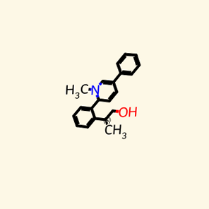 C[C@H](CO)c1ccccc1C1C=CC(c2ccccc2)=CN1C